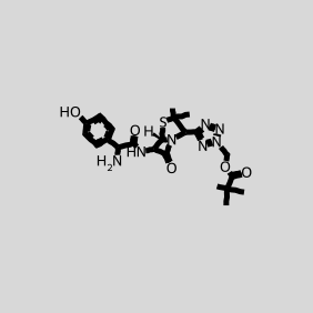 CC(C)(C)C(=O)OCn1nnc(C2N3C(=O)C(NC(=O)C(N)c4ccc(O)cc4)[C@@H]3SC2(C)C)n1